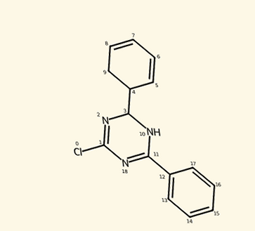 ClC1=NC(C2C=CC=CC2)NC(c2ccccc2)=N1